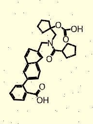 O=C(O)OC1(CN(Cc2ccc3cc(-c4ccccc4C(=O)O)ccc3c2)C(=O)C2CCCC2)CCCC1